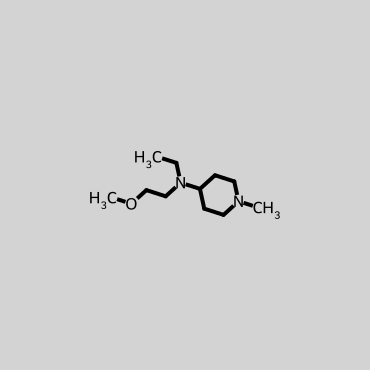 CCN(CCOC)C1CCN(C)CC1